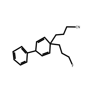 N#CCCCC1(CCCF)C=CC(c2ccccc2)C=C1